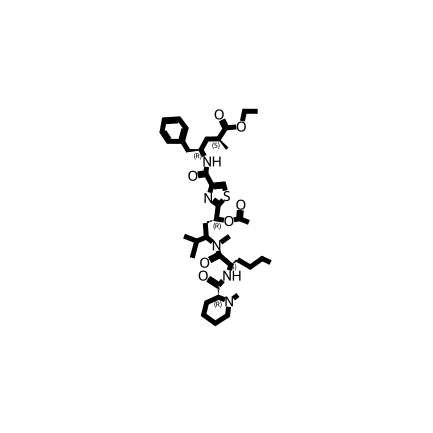 CCCC[C@H](NC(=O)[C@H]1CCCCN1C)C(=O)N(C)C(C[C@@H](OC(C)=O)c1nc(C(=O)N[C@@H](Cc2ccccc2)C[C@H](C)C(=O)OCC)cs1)C(C)C